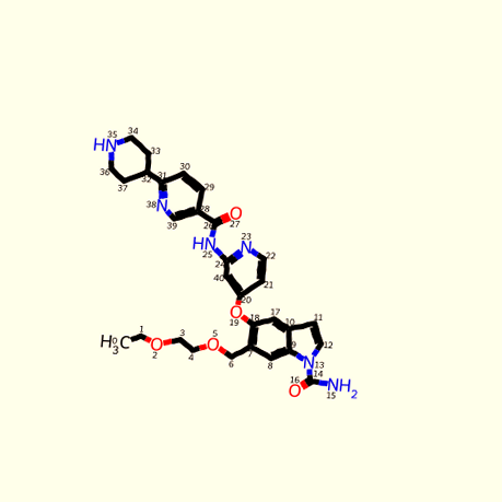 CCOCCOCc1cc2c(ccn2C(N)=O)cc1Oc1ccnc(NC(=O)c2ccc(C3CCNCC3)nc2)c1